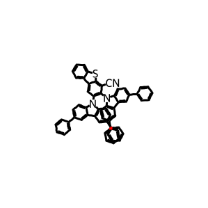 N#Cc1c(-n2c3ccc(-c4ccccc4)cc3c3cc(-c4ccccc4)ccc32)c(-n2c3ccc(-c4ccccc4)cc3c3cc(-c4ccccc4)ccc32)cc2c1sc1ccccc12